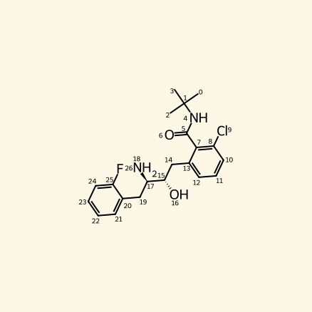 CC(C)(C)NC(=O)c1c(Cl)cccc1C[C@H](O)[C@H](N)Cc1ccccc1F